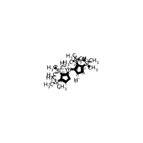 C[Si](C)(C)C1=CC[C]([Yb][C]2=C([Si](C)(C)C)C([Si](C)(C)C)=CC2)=C1[Si](C)(C)C.[H-]